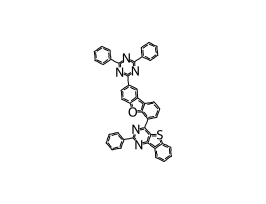 c1ccc(-c2nc(-c3ccccc3)nc(-c3ccc4oc5c(-c6nc(-c7ccccc7)nc7c6sc6ccccc67)cccc5c4c3)n2)cc1